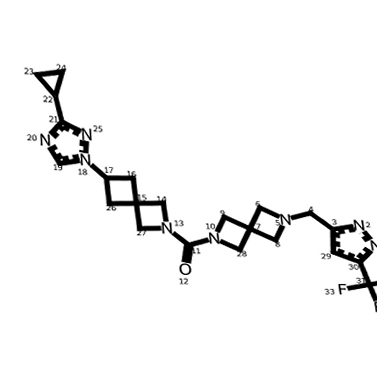 Cn1nc(CN2CC3(C2)CN(C(=O)N2CC4(CC(n5cnc(C6CC6)n5)C4)C2)C3)cc1C(F)(F)F